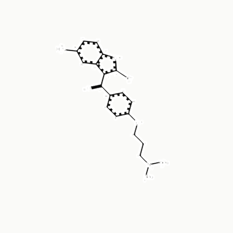 CCCCN(CCCC)CCCOc1ccc(C(=O)c2c(C(C)C)oc3ccc(N)cc23)cc1